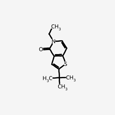 CCn1ccc2sc(C(C)(C)C)cc2c1=O